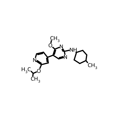 COc1nc(NC2CCC(C)CC2)ncc1-c1ccnc(OC(C)C)c1